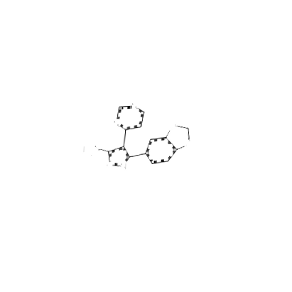 Nc1onc(-c2ccc3c(c2)OCO3)c1-c1ccncn1